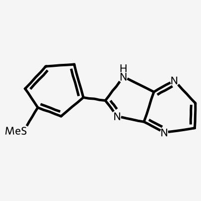 CSc1cccc(-c2nc3nccnc3[nH]2)c1